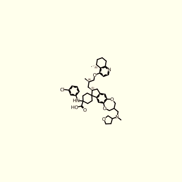 C[C@@H](COc1ccnc2c1[C@H](C)CCC2)C[C@H]1Cc2cc3c(cc2C12CCC(Nc1cccc(Cl)c1)(C(=O)O)CC2)OCC(CN(C)C1CCOC1)CO3